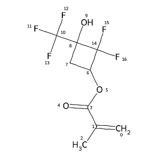 C=C(C)C(=O)OC1CC(O)(C(F)(F)F)C1(F)F